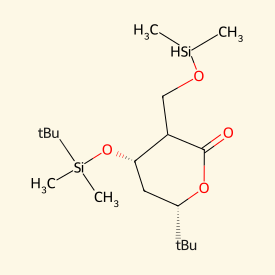 C[SiH](C)OCC1C(=O)O[C@H](C(C)(C)C)C[C@@H]1O[Si](C)(C)C(C)(C)C